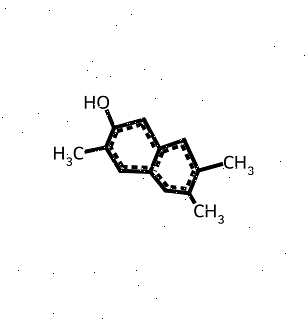 Cc1cc2cc(C)c(O)cc2cc1C